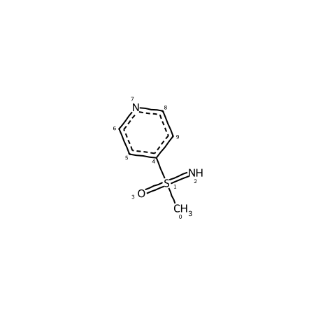 CS(=N)(=O)c1ccncc1